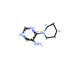 Nc1cncnc1N1CCCCC1